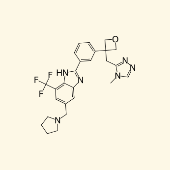 Cn1cnnc1CC1(c2cccc(-c3nc4cc(CN5CCCC5)cc(C(F)(F)F)c4[nH]3)c2)COC1